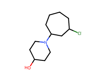 OC1CCN(C2CCCCC(Cl)C2)CC1